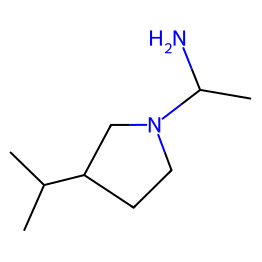 CC(C)C1CCN(C(C)N)C1